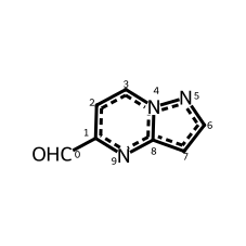 O=Cc1ccn2nccc2n1